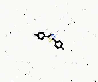 Cc1ccc(-c2cnc(-c3ccc(C)cc3)s2)cc1